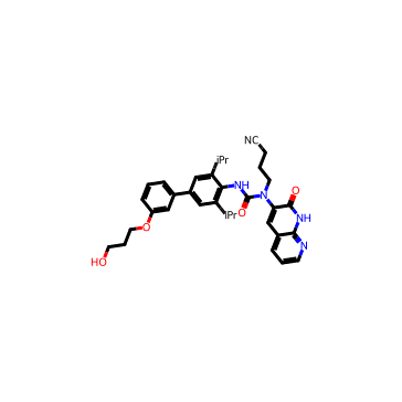 CC(C)c1cc(-c2cccc(OCCCO)c2)cc(C(C)C)c1NC(=O)N(CCCC#N)c1cc2cccnc2[nH]c1=O